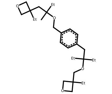 CCC1(COC(CC)(CC)Cc2ccc(COC(C)(CC)CC3(CC)COC3)cc2)COC1